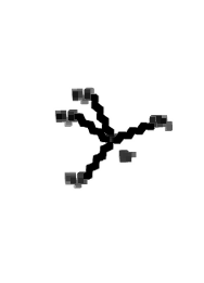 CCCCCCCC[P+](CCCCCCC)(CCCCCCCC)CCCCCCCC.[Br-]